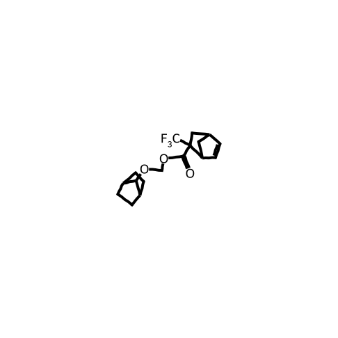 O=C(OCOC1C2CCC1CC2)C1(C(F)(F)F)CC2C=CC1C2